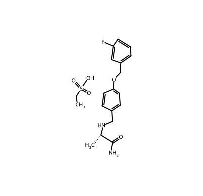 CCS(=O)(=O)O.C[C@H](NCc1ccc(OCc2cccc(F)c2)cc1)C(N)=O